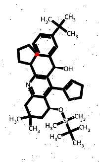 CC1(C)Cc2nc(C3CCCC3)c([C@H](O)c3cccc(C(C)(C)C)c3)c(C3=CCCC3)c2[C@@H](O[Si](C)(C)C(C)(C)C)C1